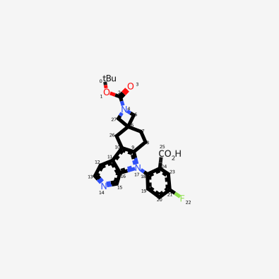 CC(C)(C)OC(=O)N1CC2(CCc3c(c4ccncc4n3-c3ccc(F)cc3C(=O)O)C2)C1